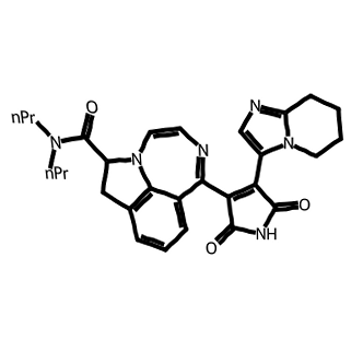 CCCN(CCC)C(=O)C1Cc2cccc3c2N1C=CN=C3C1=C(c2cnc3n2CCCC3)C(=O)NC1=O